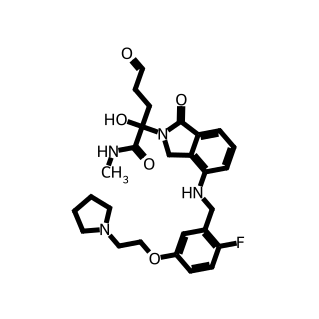 CNC(=O)C(O)(CCC=O)N1Cc2c(NCc3cc(OCCN4CCCC4)ccc3F)cccc2C1=O